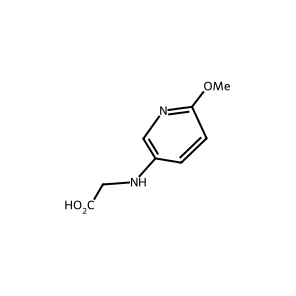 COc1ccc(NCC(=O)O)cn1